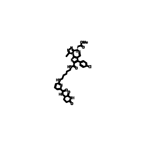 COC(=O)C[C@@H]1N=Cc2c(sc(C(=O)NCCCCCNc3cccc(C(=O)NC4CCC(=O)NC4=O)n3)c2-c2ccc(Cl)cc2)-n2c(C)nnc21